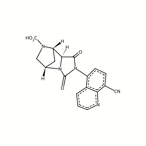 N#Cc1ccc(N2C(=O)[C@@H]3[C@@H]4C[C@@H](CN4C(=O)O)N3C2=O)c2cccnc12